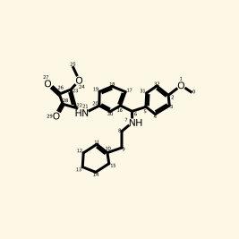 COc1ccc(C(NCCC2=CCCCC2)c2cccc(Nc3c(OC)c(=O)c3=O)c2)cc1